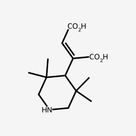 CC1(C)CNCC(C)(C)C1/C(=C/C(=O)O)C(=O)O